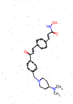 CN(C)C1CCN(Cc2ccc(C(=O)/C=C/c3ccc(/C=C/C(=O)NO)cc3)cc2)CC1